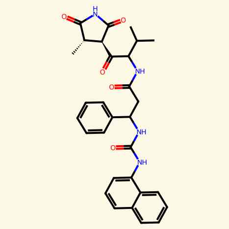 CC(C)C(NC(=O)CC(NC(=O)Nc1cccc2ccccc12)c1ccccc1)C(=O)[C@@H]1C(=O)NC(=O)[C@H]1C